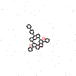 c1ccc(-c2ccc(-c3c4cccc(-c5cc6ccccc6c6c5oc5ccccc56)c4cc4c(-c5cc6ccccc6c6c5oc5ccccc56)cccc34)cc2)cc1